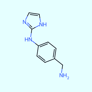 NCc1ccc(Nc2ncc[nH]2)cc1